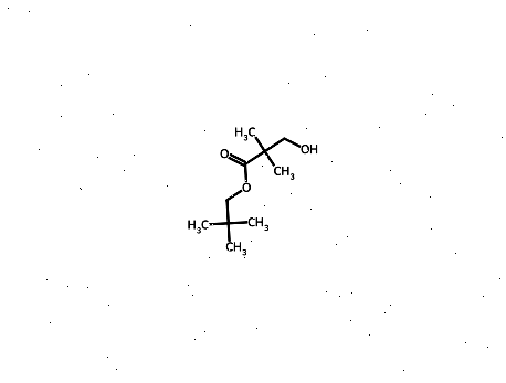 CC(C)(C)COC(=O)C(C)(C)CO